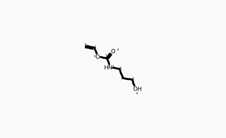 C=COC(=O)NCCCO